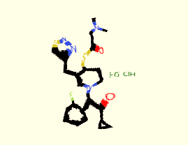 CN(C)CC(=O)SC1CCN(C(C(=O)C2CC2)c2ccccc2F)C/C1=C/c1csnn1.Cl.Cl